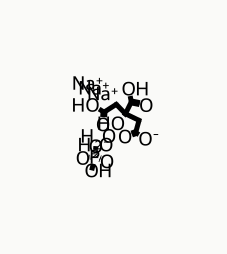 O.O.O=C([O-])CC(O)(CC(=O)O)C(=O)O.O=P([O-])([O-])O.[Na+].[Na+].[Na+]